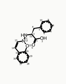 O=C(O)[C@H](Cc1ccccc1)NN1C=Cc2ccccc2O1